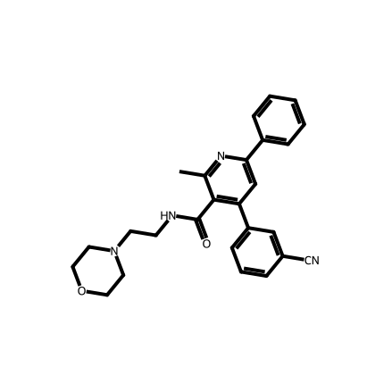 Cc1nc(-c2ccccc2)cc(-c2cccc(C#N)c2)c1C(=O)NCCN1CCOCC1